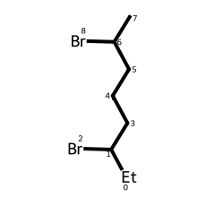 CCC(Br)C[CH]CC(C)Br